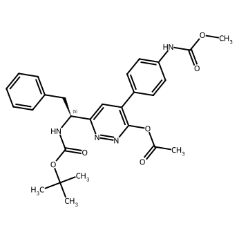 COC(=O)Nc1ccc(-c2cc([C@H](Cc3ccccc3)NC(=O)OC(C)(C)C)nnc2OC(C)=O)cc1